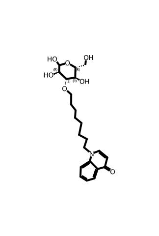 O=c1ccn(CCCCCCCCO[C@H]2[C@H](O)[C@@H](CO)OC(O)[C@@H]2O)c2ccccc12